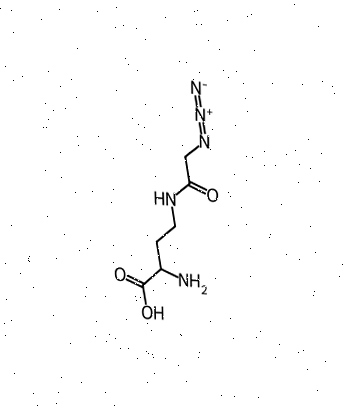 [N-]=[N+]=NCC(=O)NCCC(N)C(=O)O